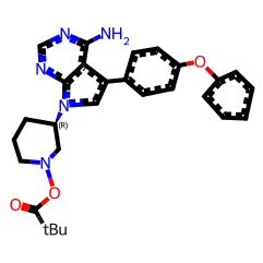 CC(C)(C)C(=O)ON1CCC[C@@H](n2cc(-c3ccc(Oc4ccccc4)cc3)c3c(N)ncnc32)C1